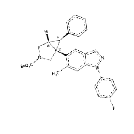 CCOC(=O)N1C[C@@H]2[C@@H](c3ccccc3)[C@]2(c2cc3cnn(-c4ccc(F)cc4)c3cc2C)C1